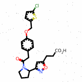 O=C(O)CCc1cc(C2CCCN2C(=O)Cc2ccc(OCc3ccc(Cl)s3)cc2)no1